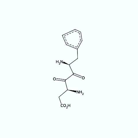 N[C@@H](CC(=O)O)C(=O)C(=O)[C@@H](N)Cc1ccccc1